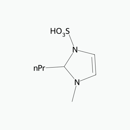 CCCC1N(C)C=CN1S(=O)(=O)O